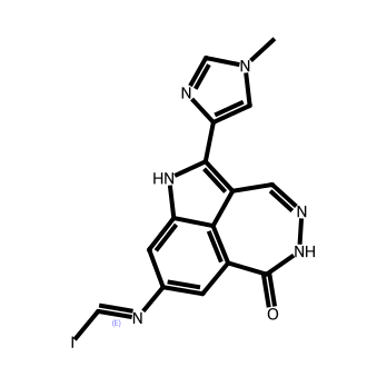 Cn1cnc(-c2[nH]c3cc(/N=C/I)cc4c3c2C=NNC4=O)c1